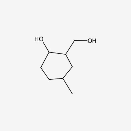 CC1CCC(O)C(CO)C1